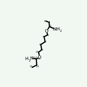 CCC(N)OCCCCCCOC(N)CC